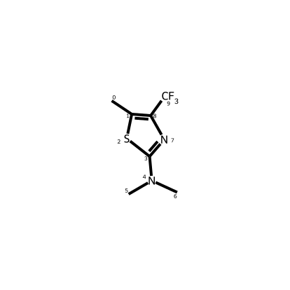 Cc1sc(N(C)C)nc1C(F)(F)F